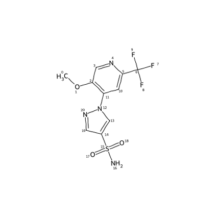 COc1cnc(C(F)(F)F)cc1-n1cc(S(N)(=O)=O)cn1